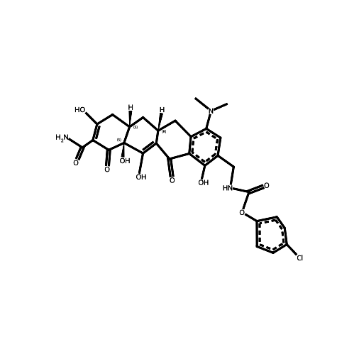 CN(C)c1cc(CNC(=O)Oc2ccc(Cl)cc2)c(O)c2c1C[C@H]1C[C@H]3CC(O)=C(C(N)=O)C(=O)[C@@]3(O)C(O)=C1C2=O